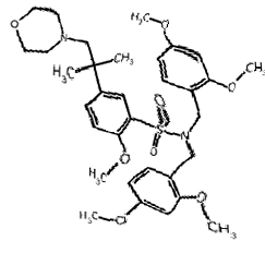 COc1ccc(CN(Cc2ccc(OC)cc2OC)S(=O)(=O)c2cc(C(C)(C)CN3CCOCC3)ccc2OC)c(OC)c1